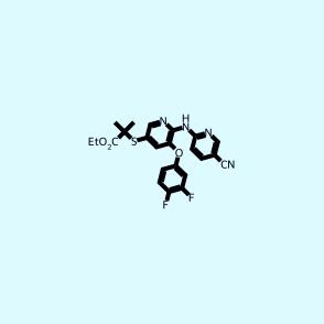 CCOC(=O)C(C)(C)Sc1cnc(Nc2ccc(C#N)cn2)c(Oc2ccc(F)c(F)c2)c1